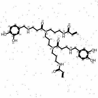 C=CC(=O)NCCCN(CCCN(CCCNC(=O)C=C)C(=O)CCNCc1ccc(O)c(O)c1)C(=O)CCNCc1ccc(O)c(O)c1